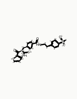 CS(=O)(=O)c1ccc(CCNC(=O)c2ccc(Cn3c(=S)[nH]c4ccsc4c3=O)cc2)cc1